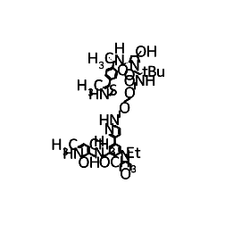 CCN(c1cc(-c2ccc(NCCOCCOCC(=O)N[C@H](C(=O)N3C[C@H](O)C[C@H]3C(=O)N[C@@H](C)c3ccc(C4=C(C)NCS4)cc3)C(C)(C)C)nc2)cc(C(=O)NCC2=C(C)C=C(C)NC2O)c1C)C1CCOCC1